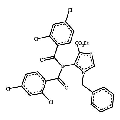 CCOC(=O)c1ncn(Cc2ccccc2)c1N(C(=O)c1ccc(Cl)cc1Cl)C(=O)c1ccc(Cl)cc1Cl